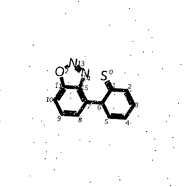 S=C1[C]=CC=CC1c1cccc2onnc12